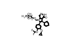 C[Si](C)(C)CCOCn1c(-c2ccc(OC(F)F)c(OC3CC3)c2)c(-c2ccccc2)c2c(=O)[nH]ncc21